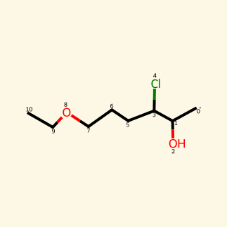 [CH2]C(O)C(Cl)CCCOCC